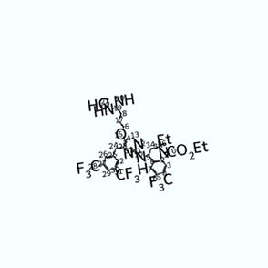 CCOC(=O)N1c2ccc(C(F)(F)F)cc2[C@@H](Nc2ncc(OCCCC(=N)NO)c(Cc3cc(C(F)(F)F)cc(C(F)(F)F)c3)n2)C[C@H]1CC